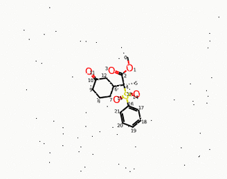 COC(=O)[C@](C)(C1CCCC(=O)C1)S(=O)(=O)c1ccccc1